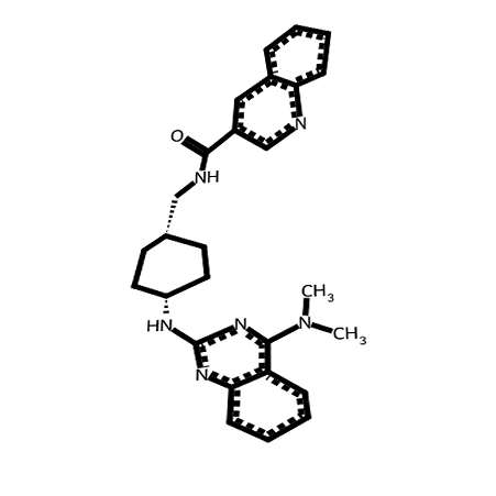 CN(C)c1nc(N[C@H]2CC[C@@H](CNC(=O)c3cnc4ccccc4c3)CC2)nc2ccccc12